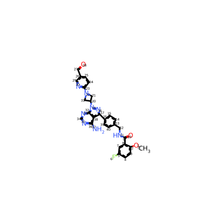 COc1ccc(F)cc1C(=O)NCc1ccc(-c2nn(C3CN(c4ccc(C=O)cn4)C3)c3ncnc(N)c23)cc1